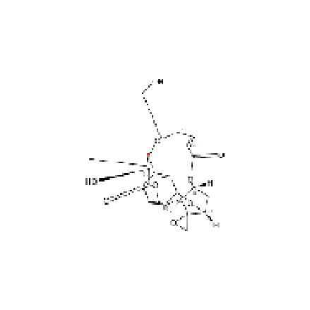 CC1CCOC(CO)/C=C/C=C\C(=O)O[C@@H]2C[C@H]3OC4C=C(I)CC[C@]4(COC(=O)[C@@H]1O)[C@]2(C)C31CO1